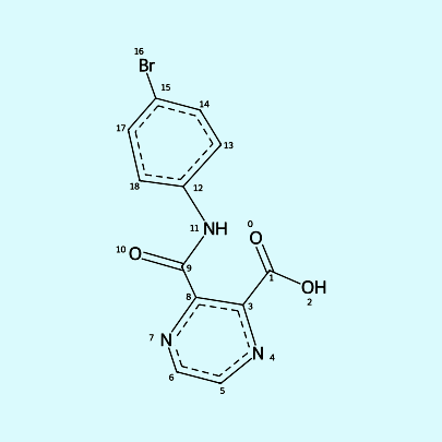 O=C(O)c1nccnc1C(=O)Nc1ccc(Br)cc1